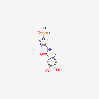 CCS(=O)(=O)c1cnc(NC(=O)c2cc(O)c(O)cc2C)s1